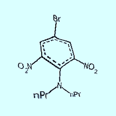 CCCN(CCC)c1c([N+](=O)[O-])cc(Br)cc1[N+](=O)[O-]